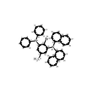 Cc1cc(N(c2ccccc2)c2ccccc2)c(Br)c(N(c2cccc3ccccc23)c2cccc3ccccc23)c1